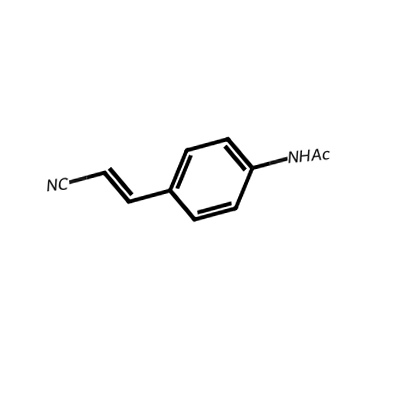 CC(=O)Nc1ccc(C=CC#N)cc1